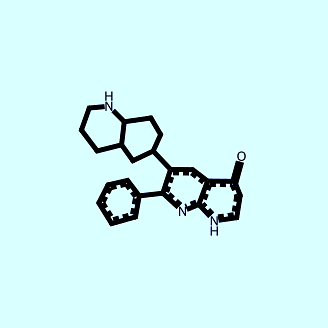 O=c1cc[nH]c2nc(-c3ccccc3)c(C3CCC4NCCCC4C3)cc12